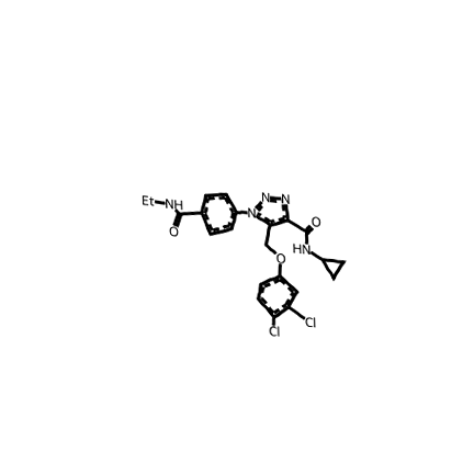 CCNC(=O)c1ccc(-n2nnc(C(=O)NC3CC3)c2COc2ccc(Cl)c(Cl)c2)cc1